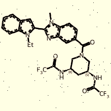 CCn1c(-c2nc3cc(C(=O)N4C[C@H](NC(=O)C(F)(F)F)C[C@H](NC(=O)C(F)(F)F)C4)ccc3n2C)cc2ccccc21